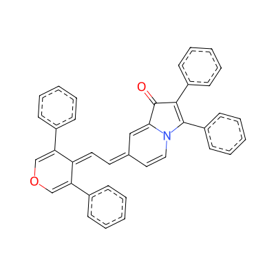 O=C1C2=CC(=CC=C3C(c4ccccc4)=COC=C3c3ccccc3)C=CN2C(c2ccccc2)=C1c1ccccc1